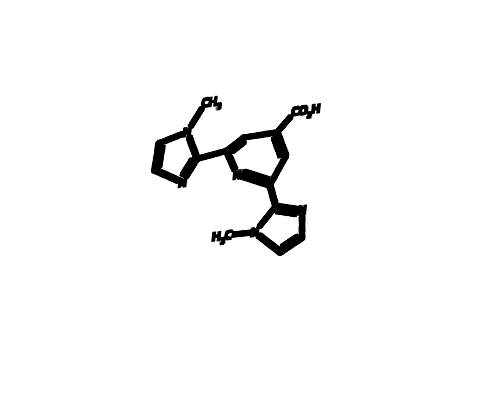 Cn1ccnc1-c1cc(C(=O)O)cc(-c2nccn2C)n1